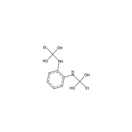 CCC(O)(O)Nc1ccccc1NC(O)(O)CC